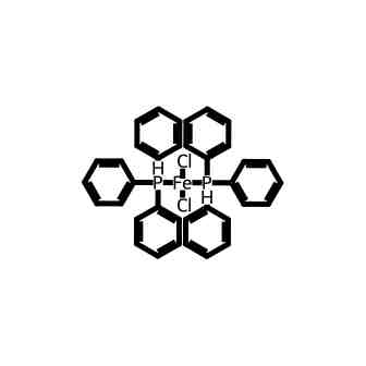 [Cl][Fe]([Cl])([PH](c1ccccc1)(c1ccccc1)c1ccccc1)[PH](c1ccccc1)(c1ccccc1)c1ccccc1